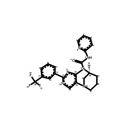 O=C(Nc1ccccn1)N1c2nc(-c3cccc(C(F)(F)F)c3)ncc2N2CCC[C@H]1C2